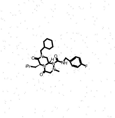 CC(C)C[C@H]1C(=O)N(CC2CCCCC2)C[C@H]2N1C(=O)CN(C)N2C(=O)NCc1ccc(F)cc1